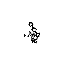 CCS(=O)(=O)c1cc(-c2ncccn2)cnc1-c1ncc(CC(C(F)(F)F)C(F)(F)F)n1C